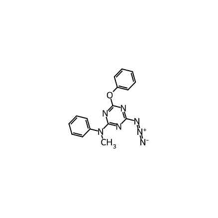 CN(c1ccccc1)c1nc(N=[N+]=[N-])nc(Oc2ccccc2)n1